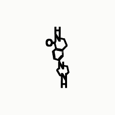 O=C1NCCc2cc(N3CCNCC3)ccc21